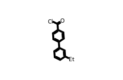 CCc1cccc(-c2ccc(C(=O)Cl)cc2)c1